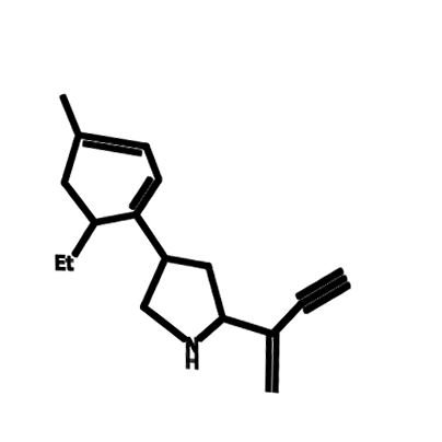 C#CC(=C)C1CC(C2=CC=C(C)CC2CC)CN1